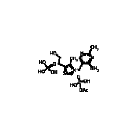 CC(=O)OP(=O)(O)O.Cc1ncc(C[n+]2csc(CCO)c2C)c(N)n1.O=P(O)(O)O